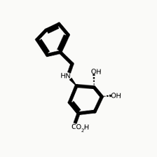 O=C(O)C1=C[C@@H](NCc2ccccc2)[C@H](O)[C@H](O)C1